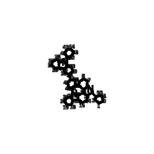 c1ccc(-c2nc3ccccc3c3c2ccc2c4ccccc4n(-c4ccc(-c5ccc6c(c5)c5ccccc5n6-c5ccccc5)cc4)c23)cc1